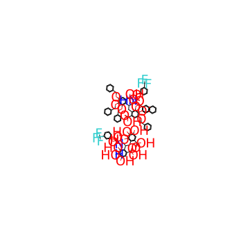 O=C(NCC(Cc1c(C(=O)O)cc(O)c(O)c1O)c1c(C(=O)O)cc(O)c(O)c1O)Oc1cccc(C(F)(F)F)c1.O=C(NCC(Cc1c(C(=O)O)cc(OCc2ccccc2)c(OCc2ccccc2)c1OCc1ccccc1)c1c(C(=O)O)cc(OCc2ccccc2)c(OCc2ccccc2)c1OCc1ccccc1)Oc1cccc(C(F)(F)F)c1